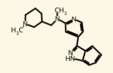 CN1CCCC(CN(C)c2cc(-c3n[nH]c4ccccc34)ccn2)C1